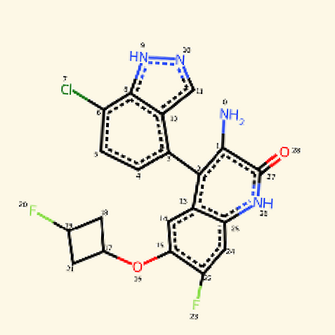 Nc1c(-c2ccc(Cl)c3[nH]ncc23)c2cc(OC3CC(F)C3)c(F)cc2[nH]c1=O